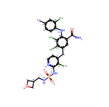 NC(=O)c1cc(Cc2ccnc(NS(=O)(=O)NCC3COC3)c2F)c(F)c(F)c1Nc1ccc(I)cc1F